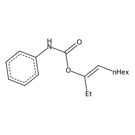 CCCCCCC=C(CC)OC(=O)Nc1ccccc1